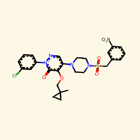 CC1(COc2c(N3CCN(S(=O)(=O)Cc4cccc([N+](=O)[O-])c4)CC3)cnn(-c3cccc(Cl)c3)c2=O)CC1